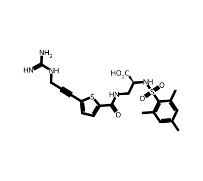 Cc1cc(C)c(S(=O)(=O)N[C@@H](CNC(=O)c2ccc(C#CCNC(=N)N)s2)C(=O)O)c(C)c1